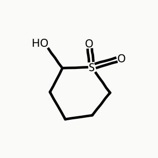 O=S1(=O)CCCCC1O